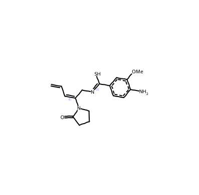 C=C/C=C(\C/N=C(\S)c1ccc(N)c(OC)c1)N1CCCC1=O